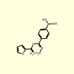 C=C(O/C(=N\N)c1ccc(B(O)O)cc1)c1ccco1